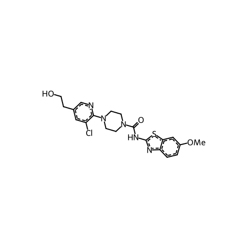 COc1ccc2nc(NC(=O)N3CCN(c4ncc(CCO)cc4Cl)CC3)sc2c1